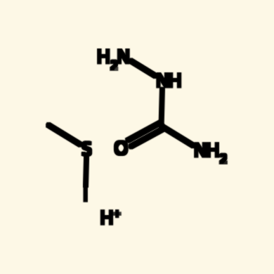 CSI.NNC(N)=O.[H+]